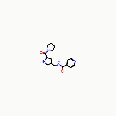 O=C(NCC1CNC(C(=O)N2CCCC2)C1)c1ccncc1